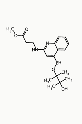 COC(=O)CCNc1cc(BOC(C)(C)C(C)(C)O)c2ccccc2n1